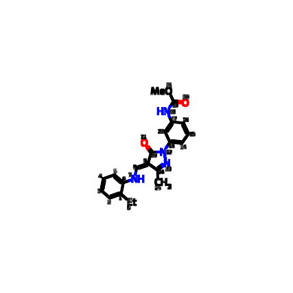 CCc1ccccc1N/C=C1/C(=O)N(c2cccc(NC(=O)OC)c2)N=C1C